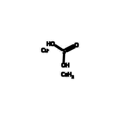 O=S(O)O.[CaH2].[Cu]